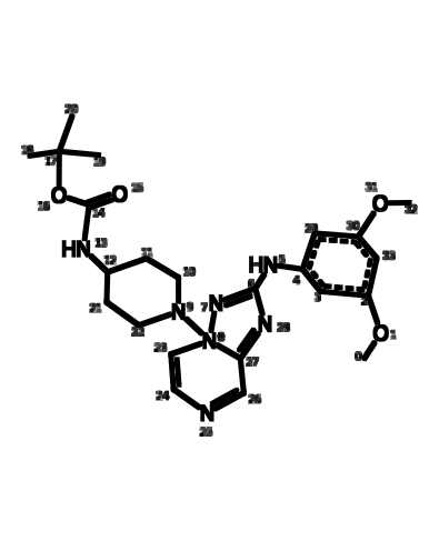 COc1cc(NC2=N[N+]3(N4CCC(NC(=O)OC(C)(C)C)CC4)C=CN=CC3=N2)cc(OC)c1